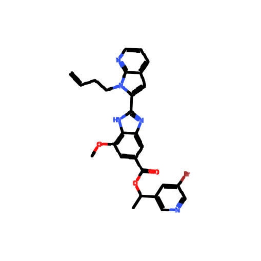 C=CCCn1c(-c2nc3cc(C(=O)OC(C)c4cncc(Br)c4)cc(OC)c3[nH]2)cc2cccnc21